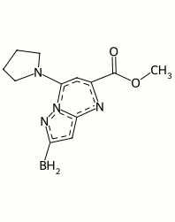 Bc1cc2nc(C(=O)OC)cc(N3CCCC3)n2n1